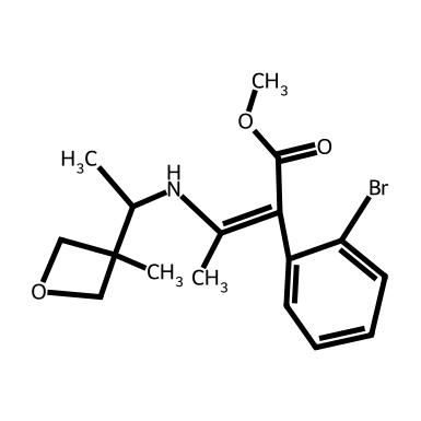 COC(=O)/C(=C(/C)NC(C)C1(C)COC1)c1ccccc1Br